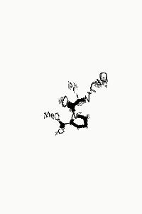 COC(=O)[C@@H]1CCCN1C(=O)[C@@H](N=C=O)C(C)C